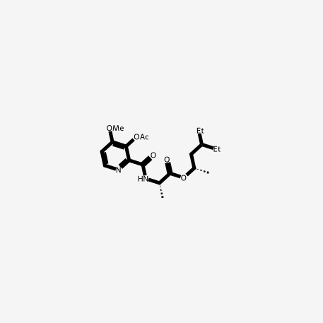 CCC(CC)C[C@H](C)OC(=O)[C@H](C)NC(=O)c1nccc(OC)c1OC(C)=O